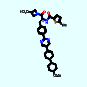 COC1CCC(C2CC=C(c3cnc(-c4ccc(C[C@H](NC(=O)c5ccc(C(C)(C)C)s5)C(=O)N5CC(C(=O)O)C5)cc4)nc3)CC2)CC1